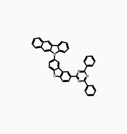 c1ccc(-c2nc(-c3ccccc3)nc(-c3ccc4oc5ccc(-n6c7ccccc7c7cc8ccccc8cc76)cc5c4c3)n2)cc1